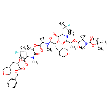 C[C@@H](OC(=O)C1(N(C)C(=O)OC(C)(C)C)CC1)C(=O)N(C)[C@@H](CC(C)(C)F)C(=O)O[C@H](CC1CCOCC1)C(=O)N(C)C1(C(=O)O[C@H](C)C(=O)N(C)[C@@H](CC(C)(C)F)C(=O)O[C@H](CC2=CCOCC2)C(=O)OCc2ccccc2)CC1